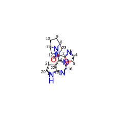 O=C(c1ncco1)N1C2CCC1CN(c1ncnc3[nH]ccc13)C2